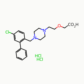 Cl.Cl.O=C(O)COCCN1CCN(Cc2ccc(Cl)cc2-c2ccccc2)CC1